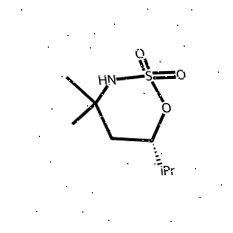 CC(C)[C@@H]1CC(C)(C)NS(=O)(=O)O1